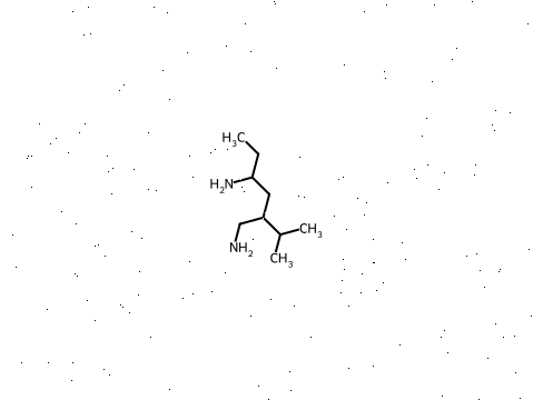 CCC(N)CC(CN)C(C)C